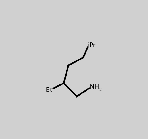 CCC(CN)CCC(C)C